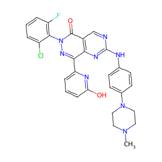 CN1CCN(c2ccc(Nc3ncc4c(=O)n(-c5c(F)cccc5Cl)nc(-c5cccc(O)n5)c4n3)cc2)CC1